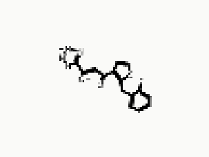 O=C(C=C(O)c1nn[nH]n1)c1ccsc1Cc1ccccc1F